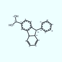 OB(O)c1ccc2c(c1)C1C=CC=CC1N2c1ccccc1